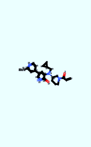 C=CC(=O)N1CCC[C@H](N(CC2CC2)c2cc(-c3ccnc(NC)c3)c[nH]c2=O)C1